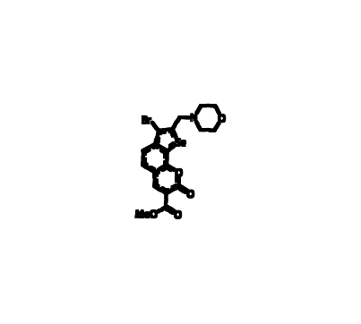 COC(=O)c1cc2ccc3c(Br)c(CN4CCOCC4)[se]c3c2oc1=O